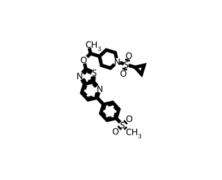 CC(Oc1nc2ccc(-c3ccc(S(C)(=O)=O)cc3)nc2s1)C1CCN(S(=O)(=O)C2CC2)CC1